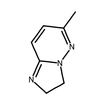 CC1=NN2CCN=C2C=C1